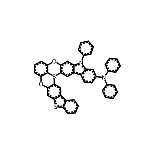 c1ccc(N(c2ccccc2)c2ccc3c4cc5c(cc4n(-c4ccccc4)c3c2)Oc2cccc3c2B5c2cc4c(cc2O3)sc2ccccc24)cc1